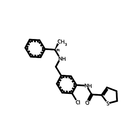 C[C@@H](NCc1ccc(Cl)c(NC(=O)C2=CCCS2)c1)c1ccccc1